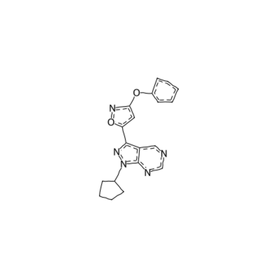 c1ccc(Oc2cc(-c3nn(C4CCCC4)c4ncncc34)on2)cc1